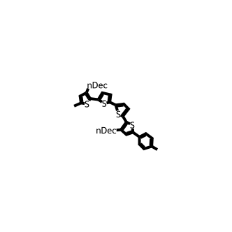 CCCCCCCCCCc1cc(C)sc1-c1ccc(-c2ccc(-c3sc(-c4ccc(C)cc4)cc3CCCCCCCCCC)s2)s1